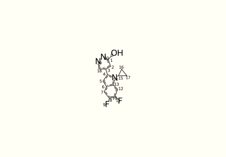 Oc1cc(-c2cc3cc(F)c(F)cc3n2C2CC2)cnn1